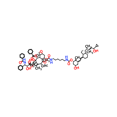 C=C1/C(=C\C=C2/CCC[C@@]3(C)C2CC[C@@H]3[C@@H](C)/C=C/C(O)C2CC2)C[C@@H](O)C[C@@H]1OC(=O)NCCCCCCNC(=O)OC1CC2OCC2(OC(C)=O)C2C(OC(=O)c3ccccc3)C3(O)CC(OC(=O)C(O)C(NC(=O)c4ccccc4)c4ccccc4)C(C)=C(C(OC(C)=O)C(=O)C12C)C3(C)C